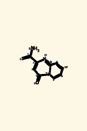 NC(=S)c1cc(=O)n2ccccc2n1